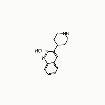 Cl.c1ccc2nnc(C3CCNCC3)cc2c1